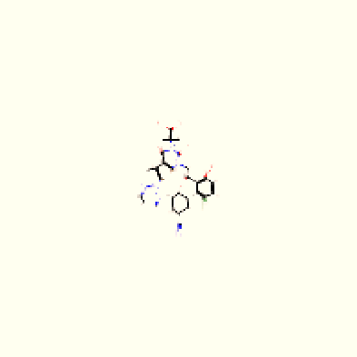 C=NN(/N=C\C)c1sc2c(c1C)c(=O)n(C(C)(C)C(=O)O)c(=O)n2C[C@H](O[C@H]1CC[C@@H](C#N)CC1)c1cc(F)ccc1OC